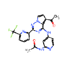 CC(=O)Nc1cc(Nc2nc(-c3cccc(C(F)(F)F)n3)nn3ccc(C(C)=O)c23)ccn1